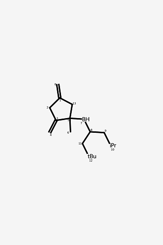 C=C1CC(=C)C(C)(BC(CC(C)C)CC(C)(C)C)C1